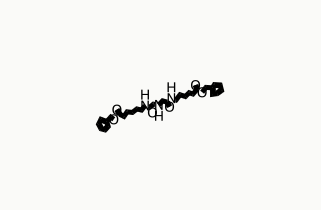 O=C(CNCC(=O)NCCCCCC(=O)OCc1ccccc1)NCCCCCC(=O)OCc1ccccc1